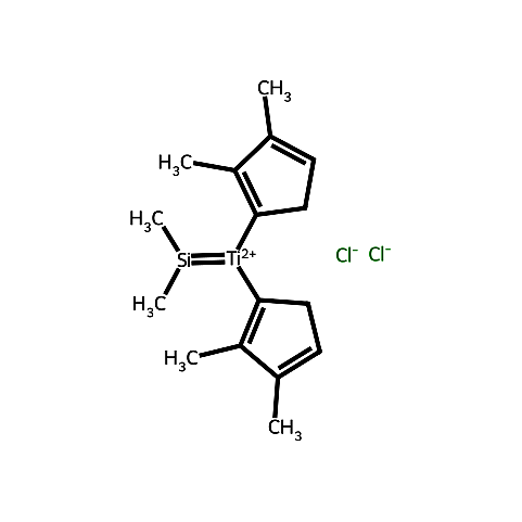 CC1=CC[C]([Ti+2]([C]2=C(C)C(C)=CC2)=[Si](C)C)=C1C.[Cl-].[Cl-]